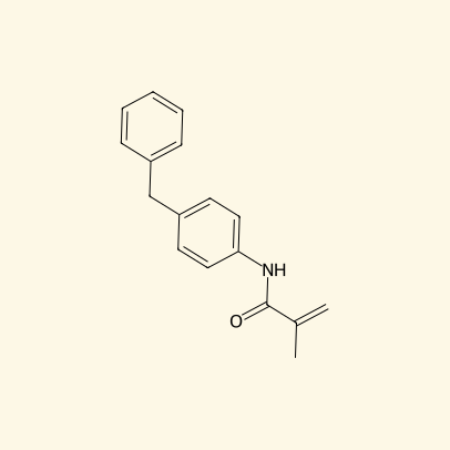 C=C(C)C(=O)Nc1ccc(Cc2ccccc2)cc1